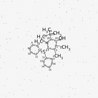 Cc1c(C)c([S+](c2ccccc2)c2ccccc2)c(C)c(C(C)(C)C)c1O